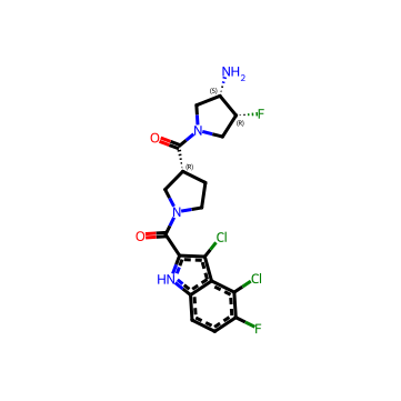 N[C@H]1CN(C(=O)[C@@H]2CCN(C(=O)c3[nH]c4ccc(F)c(Cl)c4c3Cl)C2)C[C@H]1F